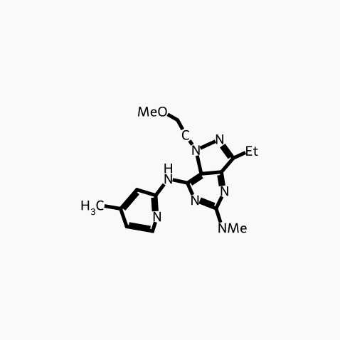 CCc1nn(CCOC)c2c(Nc3cc(C)ccn3)nc(NC)nc12